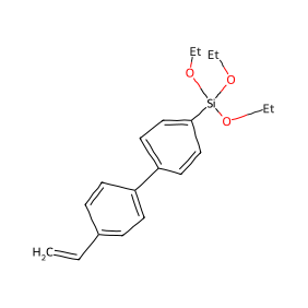 C=Cc1ccc(-c2ccc([Si](OCC)(OCC)OCC)cc2)cc1